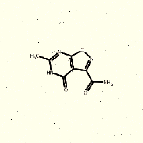 Cc1nc2onc(C(N)=O)c2c(=O)[nH]1